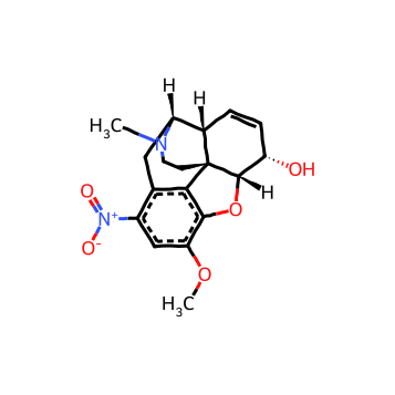 COc1cc([N+](=O)[O-])c2c3c1O[C@H]1[C@@H](O)C=C[C@H]4[C@@H](C2)N(C)CC[C@@]341